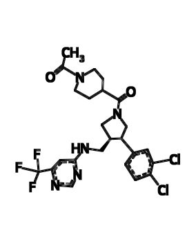 CC(=O)N1CCC(C(=O)N2CC(c3ccc(Cl)c(Cl)c3)[C@@H](CNc3cc(C(F)(F)F)ncn3)C2)CC1